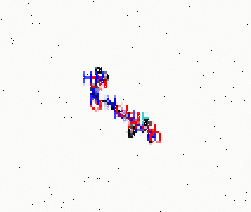 C/C=C(\C)C(=O)N1CO[C@](CCN2CCC3(CC2)c2ccccc2C[C@@H]3OCC(=O)N(C)CCCN(C)C(=O)c2ccc(N(C)CCCCC(=O)N(C)CCN3CCC(OC(=O)Nc4ccccc4-c4ccccc4)CC3)cc2)(c2ccc(F)cc2)C1